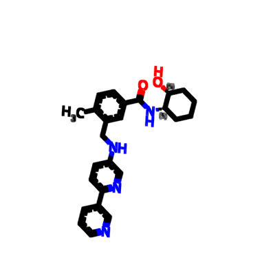 Cc1ccc(C(=O)N[C@H]2CCCC[C@@H]2O)cc1CNc1ccc(-c2cccnc2)nc1